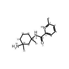 Cc1cccc(C(=O)NC2(C)CCCC(C)(N)C2)n1